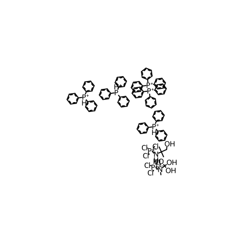 CC(C)(CO)[NH][Pt-]([Cl])([Cl])[Cl].C[N](C(O)(O)O)[Pt-4]([Cl])([Cl])[Cl].c1ccc([P+](c2ccccc2)(c2ccccc2)[P+](c2ccccc2)(c2ccccc2)c2ccccc2)cc1.c1ccc([PH+](c2ccccc2)c2ccccc2)cc1.c1ccc([PH+](c2ccccc2)c2ccccc2)cc1.c1ccc([PH+](c2ccccc2)c2ccccc2)cc1